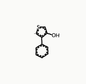 Oc1cs[c]c1-c1ccccc1